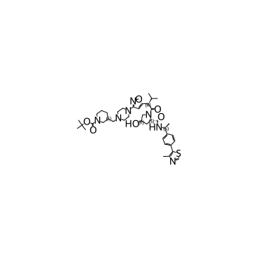 Cc1ncsc1-c1ccc([C@H](C)NC(=O)[C@@H]2C[C@@H](O)CN2C(=O)[C@@H](c2cc(N3CCN(C[C@@H]4CCCN(C(=O)OC(C)(C)C)C4)CC3)no2)C(C)C)cc1